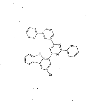 Brc1cc(-c2nc(-c3ccccc3)nc(-c3cccc(-c4ccccc4)c3)n2)c2oc3ccccc3c2c1